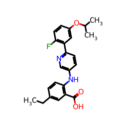 CCc1ccc(Nc2ccc(-c3cc(OC(C)C)ccc3F)nc2)c(C(=O)O)c1